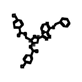 O=C(OC[C@H]1O[C@@H](c2nnc3c(SCc4ccccc4)nccn23)C[C@@H]1OC(=O)c1ccc(Cl)cc1)c1ccc(Cl)cc1